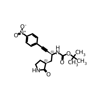 CC(C)(C)OC(=O)N[C@H](C#Cc1ccc([N+](=O)[O-])cc1)C[C@@H]1CCNC1=O